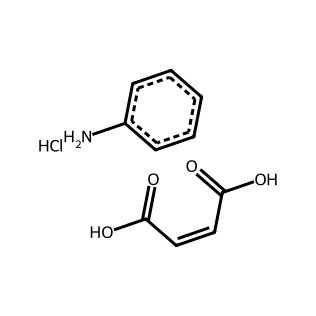 Cl.Nc1ccccc1.O=C(O)/C=C\C(=O)O